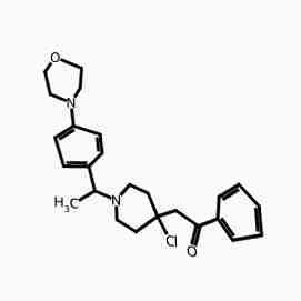 CC(c1ccc(N2CCOCC2)cc1)N1CCC(Cl)(CC(=O)c2ccccc2)CC1